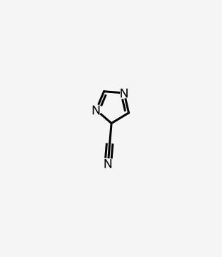 N#CC1C=NC=N1